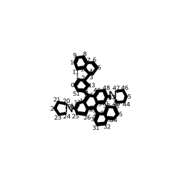 c1cc(-c2cccc3ccccc23)cc(-c2c3cc(N4CCCCC4)ccc3c(-c3cccc4ccccc34)c3cc(N4CCCCC4)ccc23)c1